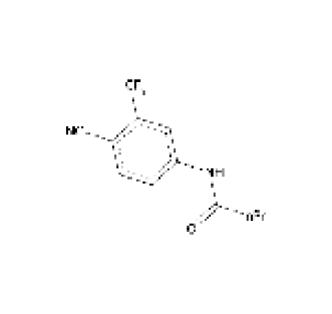 [CH2]CCC(=O)Nc1ccc(C#N)c(C(F)(F)F)c1